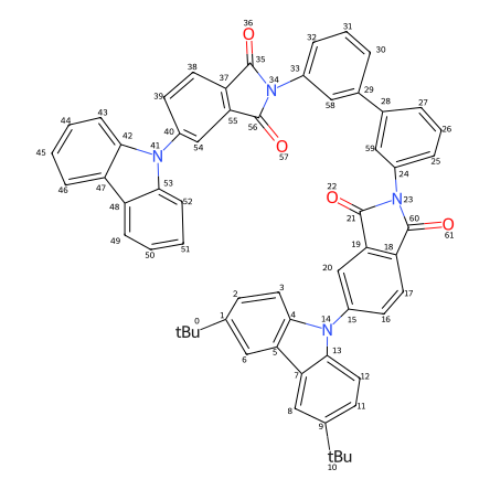 CC(C)(C)c1ccc2c(c1)c1cc(C(C)(C)C)ccc1n2-c1ccc2c(c1)C(=O)N(c1cccc(-c3cccc(N4C(=O)c5ccc(-n6c7ccccc7c7ccccc76)cc5C4=O)c3)c1)C2=O